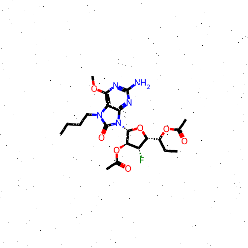 CCCCn1c(=O)n([C@@H]2O[C@H](C(CC)OC(C)=O)[C@H](F)[C@H]2OC(C)=O)c2nc(N)nc(OC)c21